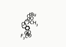 C[C@H]1C[C@@]2(CCN1C(=O)OC(C)(C)C)OCCc1cc(OS(=O)(=O)C(F)(F)F)ccc12